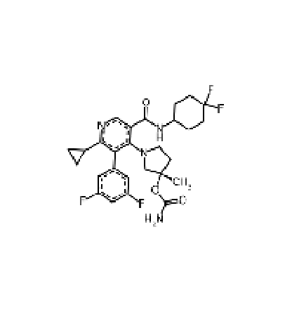 C[C@]1(OC(N)=O)CCN(c2c(C(=O)NC3CCC(F)(F)CC3)cnc(C3CC3)c2-c2cc(F)cc(F)c2)C1